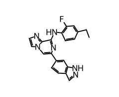 CCc1ccc(Nc2nc(-c3ccc4cn[nH]c4c3)cn3ccnc23)c(F)c1